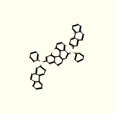 c1ccc(N(c2ccc3c(ccc4ccccc43)c2)c2cc3c4c(ccc5cc(N(c6ccccc6)c6ccc7c(ccc8ccccc87)c6)c6cccc(c6c54)O3)c2)cc1